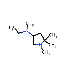 CN(CC(F)(F)F)[C@@H]1CN(C)C(C)(C)C1